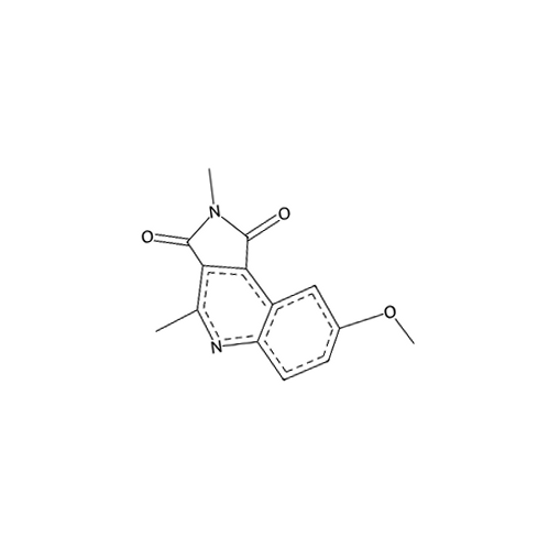 COc1ccc2nc(C)c3c(c2c1)C(=O)N(C)C3=O